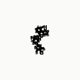 Cc1cccc(C(=O)N2C[C@H]3CCN(c4nc(C)c(Cl)c(C)n4)C[C@H]32)c1C1CC=NN1